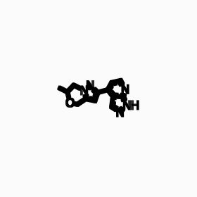 CC1Cn2nc(-c3ccnc4[nH]ncc34)cc2CO1